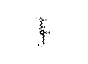 CCCCCCc1ccc(OC(=O)CCCN(C)C)cc1O